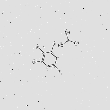 Fc1cc(Cl)c(Br)c(Br)c1.OB(O)O